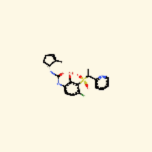 CC1=CCC[C@H]1NC(=O)Nc1ccc(Cl)c(S(=O)(=O)C(C)c2ccccn2)c1O